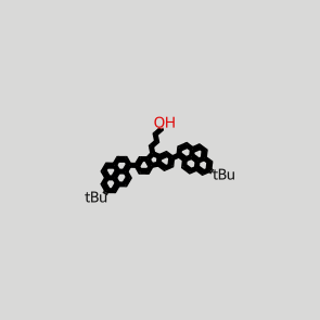 CC(C)(C)c1cc2ccc3ccc(-c4ccc5c(c4)C(CCCCO)c4cc(-c6ccc7ccc8cc(C(C)(C)C)cc9ccc6c7c89)ccc4-5)c4ccc(c1)c2c34